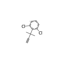 C#CC(C)(C)c1c(Cl)[c]ccc1Cl